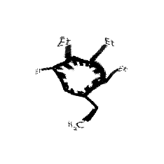 C=Cc1cc(CC)c(CC)c(CC)c1CC